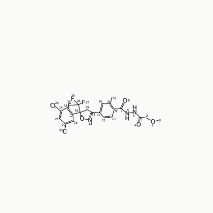 COCC(=O)NNC(=O)c1ccc(C2=NOC(c3cc(Cl)cc(Cl)c3)(C(F)(F)F)C2)cc1C